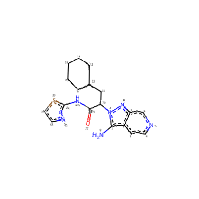 Nc1c2ccncc2nn1C(CC1CCCCC1)C(=O)Nc1nccs1